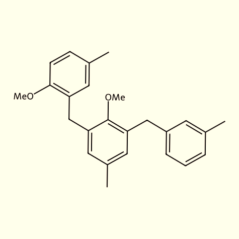 COc1ccc(C)cc1Cc1cc(C)cc(Cc2cccc(C)c2)c1OC